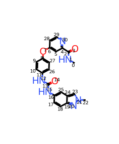 CNC(=O)c1cc(Oc2ccc(NC(=O)Nc3ccc4nn(C)cc4c3)cc2)ccn1